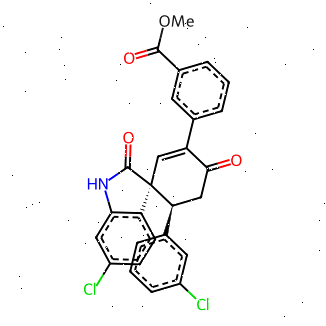 COC(=O)c1cccc(C2=C[C@]3(C(=O)Nc4cc(Cl)ccc43)[C@H](c3cccc(Cl)c3)CC2=O)c1